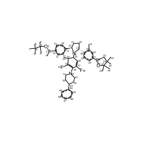 CB(OC(C)(C)C(C)(C)C)c1ccc([C@H]2CC[C@H](c3ccc(B4CC(C)(C)C(C)(C)O4)cc3C)N2C2C=C(F)C(N3CCC(c4ccccc4)CC3)=C(F)C2C)cc1